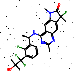 Cc1nc(N[C@H](C)c2cccc(C(F)(F)C(C)(C)O)c2F)c2cc3c(cc2n1)C(C)(F)C(=O)N3C